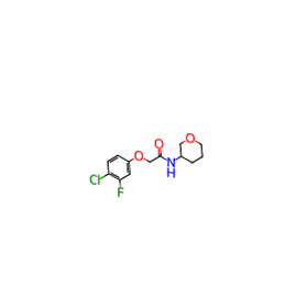 O=C(COc1ccc(Cl)c(F)c1)NC1CCCOC1